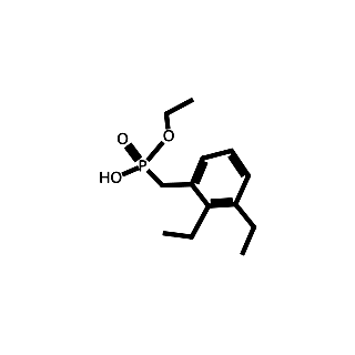 CCOP(=O)(O)Cc1cccc(CC)c1CC